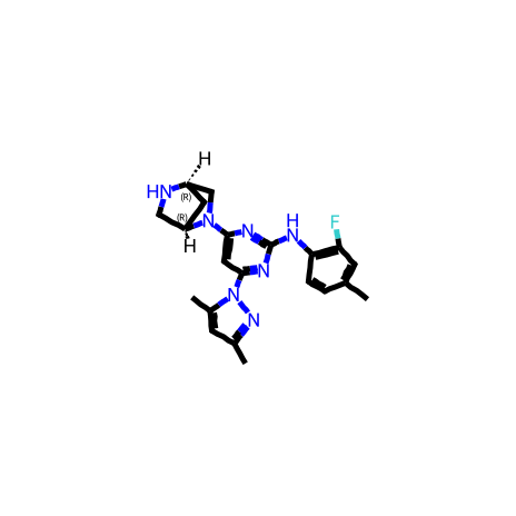 Cc1ccc(Nc2nc(N3C[C@H]4C[C@@H]3CN4)cc(-n3nc(C)cc3C)n2)c(F)c1